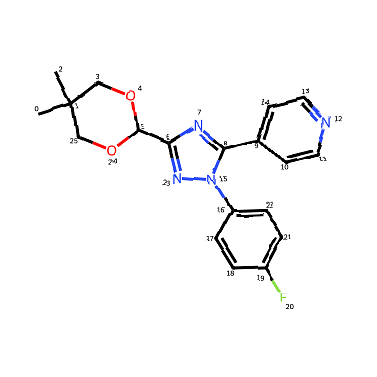 CC1(C)COC(c2nc(-c3ccncc3)n(-c3ccc(F)cc3)n2)OC1